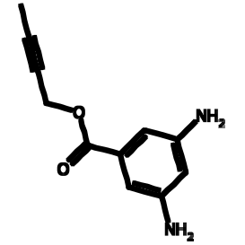 CC#CCOC(=O)c1cc(N)cc(N)c1